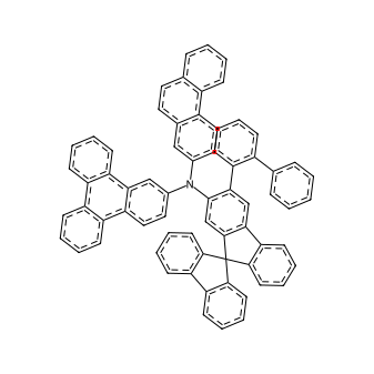 c1ccc(-c2ccccc2-c2cc3c(cc2N(c2ccc4c(ccc5ccccc54)c2)c2ccc4c5ccccc5c5ccccc5c4c2)C2(c4ccccc4-c4ccccc42)c2ccccc2-3)cc1